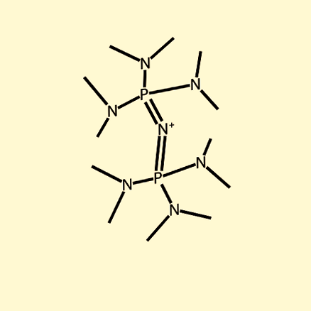 CN(C)P(=[N+]=P(N(C)C)(N(C)C)N(C)C)(N(C)C)N(C)C